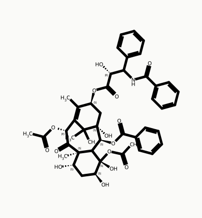 CC(=O)O[C@H]1C(=O)[C@@]2(C)C([C@H](OC(=O)c3ccccc3)[C@]3(O)C[C@H](OC(=O)[C@H](O)C(NC(=O)c4ccccc4)c4ccccc4)C(C)=C1C3(C)C)[C@](O)(OC(C)=O)[C@@H](O)C[C@@H]2O